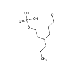 CCCN(CCC[O])CCOP(=O)(O)O